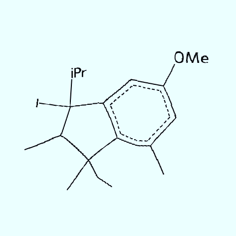 COc1cc(C)c2c(c1)C(I)(C(C)C)C(C)C2(C)C